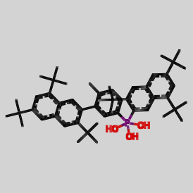 Cc1ccc(P(O)(O)(O)c2cc3c(C(C)(C)C)cc(C(C)(C)C)cc3cc2C(C)(C)C)cc1-c1cc2c(C(C)(C)C)cc(C(C)(C)C)cc2cc1C(C)(C)C